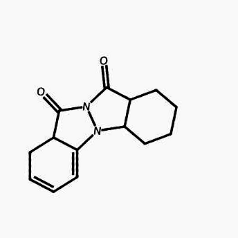 O=C1C2CC=CC=C2N2C3CCCCC3C(=O)N12